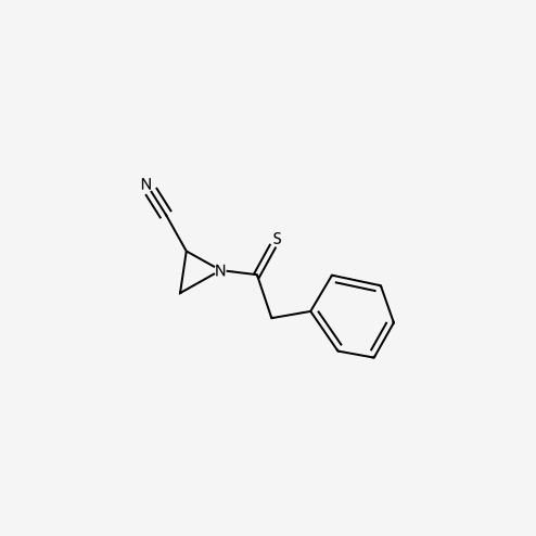 N#CC1CN1C(=S)Cc1ccccc1